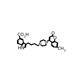 Cc1ccc2c(N3CCN(CCCCc4c[nH]c5ccc(C(=O)O)cc45)CC3)cc(=O)oc2c1